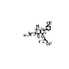 CC(C)(O)CONC(=O)c1c(N)nc(-c2cccc(C#N)c2)nc1OC[C@@H](O)CO